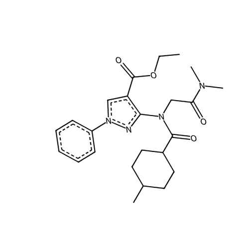 CCOC(=O)c1cn(-c2ccccc2)nc1N(CC(=O)N(C)C)C(=O)C1CCC(C)CC1